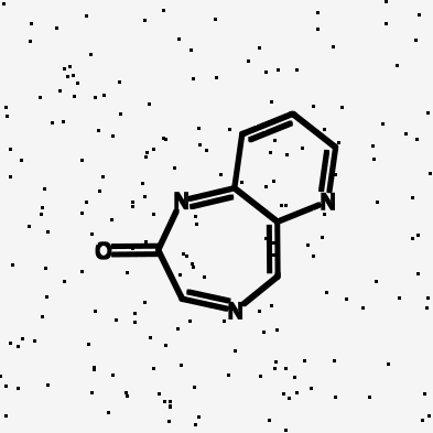 O=c1cncc2ncccc2n1